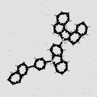 c1ccc2cc(-c3ccc(-n4c5ccccc5c5cc(-n6c7ccc8ccccc8c7c7c8ccccc8ccc76)ccc54)cc3)ccc2c1